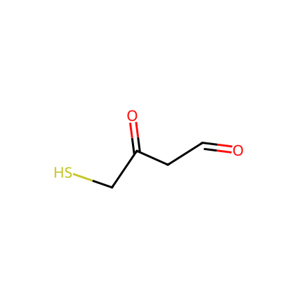 O=CCC(=O)CS